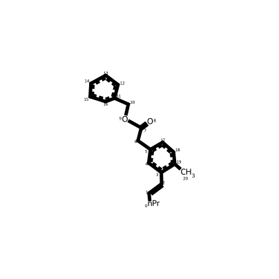 CCC/C=C/c1cc(CC(=O)OCc2ccccc2)ccc1C